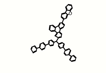 c1ccc(-c2ccc(-c3ccc(C(c4ccc(-c5ccc(-c6ccccc6)cc5)cc4)c4ccc5c6ccc(-c7ccc8c(c7)oc7ccccc78)cc6c6ccccc6c5c4)cc3)cc2)cc1